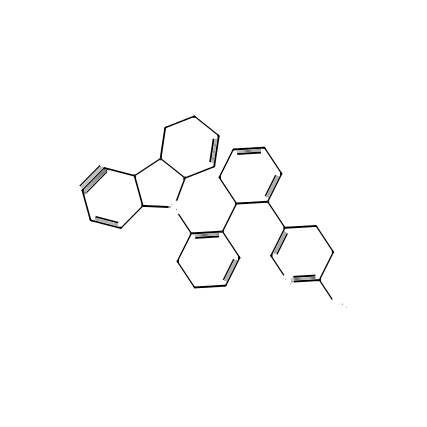 N#CC1=NC=C(C2=CC=CCC2C2=C(N3C4C=CC#CC4C4CCC=CC43)CCC=C2)CC1